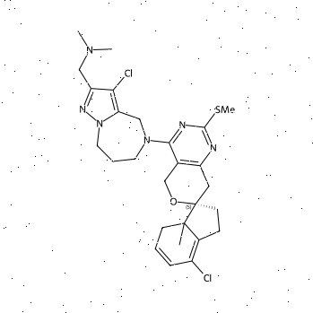 CSc1nc2c(c(N3CCCn4nc(CN(C)C)c(Cl)c4C3)n1)CO[C@@]1(CCC3=C(Cl)C=CCC31C)C2